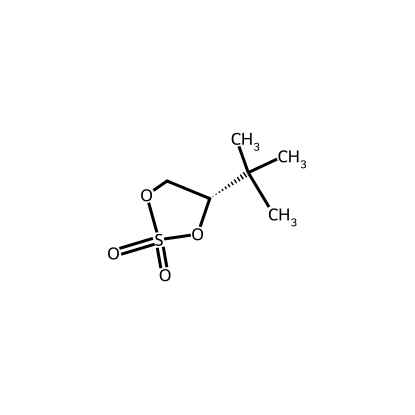 CC(C)(C)[C@H]1COS(=O)(=O)O1